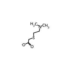 CN(C)CCSCC([O])=O